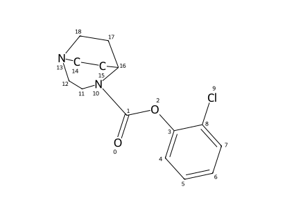 O=C(Oc1ccccc1Cl)N1CCN2CCC1CC2